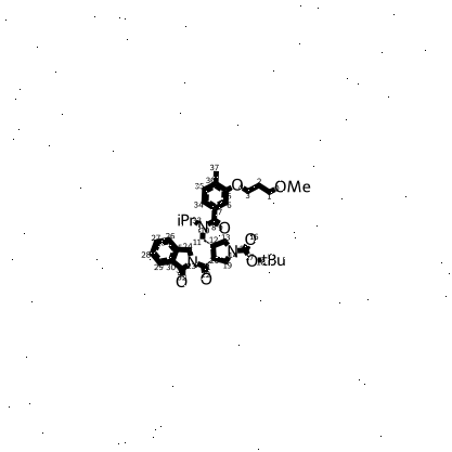 COCCCOc1cc(C(=O)N(C[C@@H]2CN(C(=O)OC(C)(C)C)C[C@@H]2C(=O)N2Cc3ccccc3C2=O)C(C)C)ccc1C